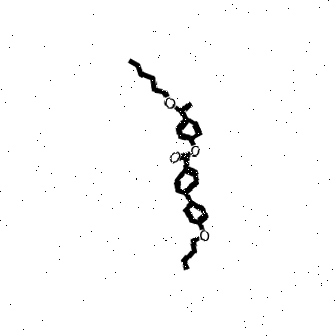 CCCCCCOC(C)c1ccc(OC(=O)c2ccc(-c3ccc(OCCCC)cc3)cc2)cc1